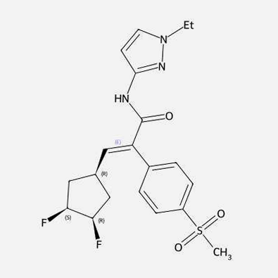 CCn1ccc(NC(=O)/C(=C/[C@H]2C[C@@H](F)[C@@H](F)C2)c2ccc(S(C)(=O)=O)cc2)n1